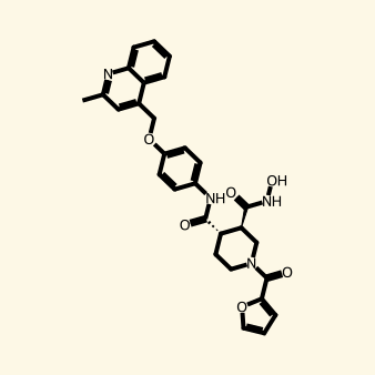 Cc1cc(COc2ccc(NC(=O)[C@H]3CCN(C(=O)c4ccco4)C[C@@H]3C(=O)NO)cc2)c2ccccc2n1